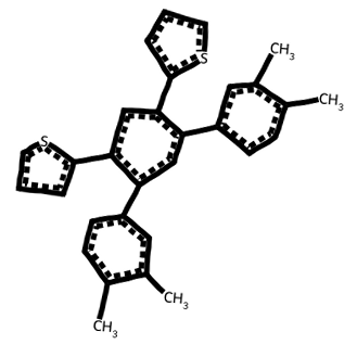 Cc1ccc(-c2cc(-c3ccc(C)c(C)c3)c(-c3cccs3)cc2-c2cccs2)cc1C